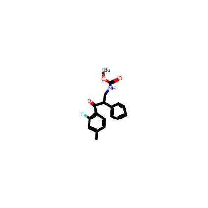 Cc1ccc(C(=O)C(CNC(=O)OC(C)(C)C)c2ccccc2)c(F)c1